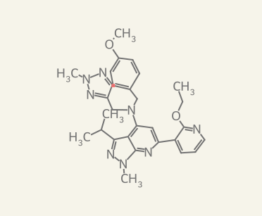 CCOc1ncccc1-c1cc(N(Cc2ccc(OC)cc2)Cc2cnn(C)n2)c2c(C(C)C)nn(C)c2n1